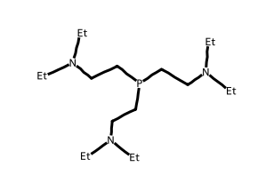 CCN(CC)CCP(CCN(CC)CC)CCN(CC)CC